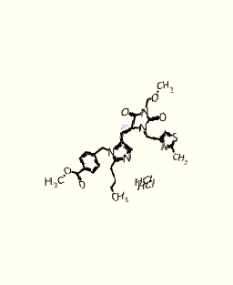 CCCCc1ncc(/C=C2/C(=O)N(COC)C(=O)N2Cc2csc(C)n2)n1Cc1ccc(C(=O)OC)cc1.Cl.Cl